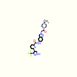 CN1CCN(C(=O)Cn2cc3cc(NC(=O)c4cccc(-c5c[nH]nc5C(F)(F)F)n4)ccc3n2)CC1